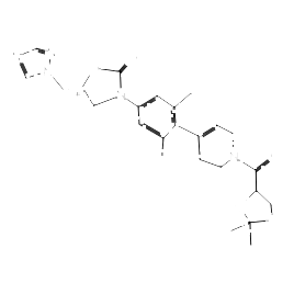 CC1(C)OCC(C(=O)N2CC=C(c3c(F)cc(N4C[C@H](Cn5cncn5)OC4=O)cc3F)CC2)O1